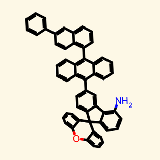 Nc1cccc2c1-c1cc(-c3c4ccccc4c(-c4cccc5cc(-c6ccccc6)ccc45)c4ccccc34)ccc1C21c2ccccc2Oc2ccccc21